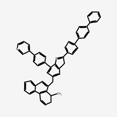 CC1CC=Cc2c1c(Cc1cc3c(c(-c4ccc(-c5cccnc5)cc4)c1)N=C(c1ccc(-c4ccc(-c5ccccc5)cc4)cc1)C3)cc1ccccc21